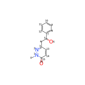 Cn1nc(CC(=O)c2ccccc2)ccc1=O